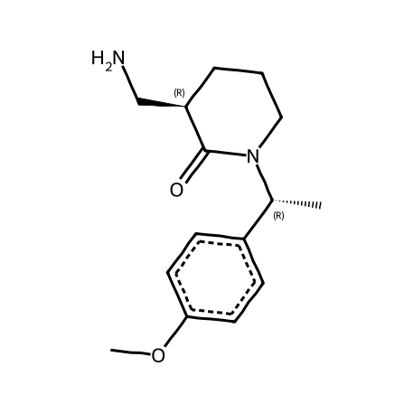 COc1ccc([C@@H](C)N2CCC[C@H](CN)C2=O)cc1